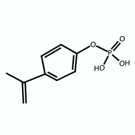 C=C(C)c1ccc(OP(=O)(O)O)cc1